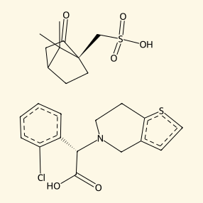 CC1(C)C2CC[C@@]1(CS(=O)(=O)O)C(=O)C2.O=C(O)[C@H](c1ccccc1Cl)N1CCc2sccc2C1